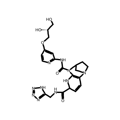 O=C(NCc1nnn[nH]1)C1C=CC2=C(N1)N(C(=O)Nc1cc(OC[C@H](O)CO)ccn1)C1CCN2C1